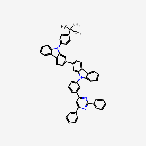 C[Si](C)(C)c1ccc(-n2c3ccccc3c3ccc(-c4ccc5c6ccccc6n(-c6cccc(-c7cc(-c8ccccc8)nc(-c8ccccc8)n7)c6)c5c4)cc32)cc1